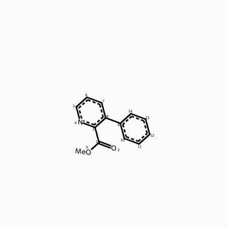 COC(=O)c1ncccc1-c1ccccc1